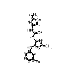 Cc1nc(NC(=O)Oc2nc(C)sc2Nc2cncc(F)c2)cs1